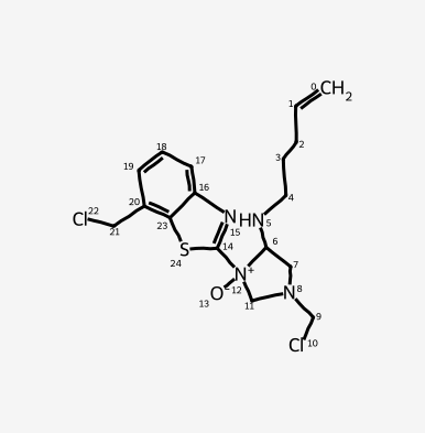 C=CCCCNC1CN(CCl)C[N+]1([O-])c1nc2cccc(CCl)c2s1